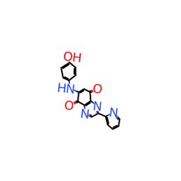 O=C1C=C(Nc2ccc(O)cc2)C(=O)c2ncc(-c3ccccn3)nc21